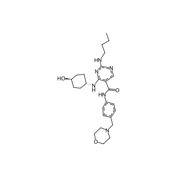 CCCCNc1ncc(C(=O)Nc2ccc(CN3CCOCC3)cc2)c(N[C@H]2CC[C@H](O)CC2)n1